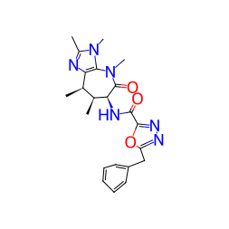 Cc1nc2c(n1C)N(C)C(=O)[C@@H](NC(=O)c1nnc(Cc3ccccc3)o1)[C@@H](C)[C@H]2C